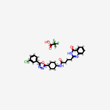 O=C(CCCc1nc2ccccc2c(=O)[nH]1)NC1CCC(c2nnc(-c3cccc(Cl)c3)o2)CC1.O=C(O)C(F)(F)F